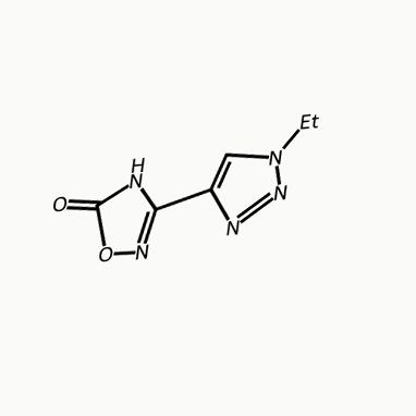 CCn1cc(-c2noc(=O)[nH]2)nn1